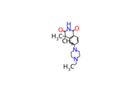 CCN1CCN(c2ccc3c(c2)C(C)(C)C(=O)NC3=O)CC1